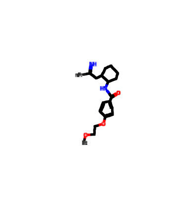 CCCC(=N)CC1CCCCC1NC(=O)c1ccc(OCCOCC)cc1